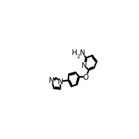 Nc1cccc(Oc2ccc(-n3ccnc3)cc2)n1